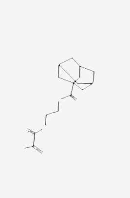 C=C(C)C(=O)OCCOC(=O)C12CC3CC(CC(C3)C1)C2